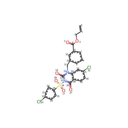 C=CCOC(=O)c1cccc(Cn2c(=O)n(S(=O)(=O)c3ccc(Cl)cc3)c(=O)c3ccc(Cl)cc32)c1